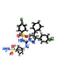 NS(=O)(=O)[C@H]1CC[C@@H](/N=C(\NS(=O)(=O)c2ccc(Cl)cc2)N2C[C@@H](c3ccccc3)C(c3ccc(Cl)cc3)=N2)C1